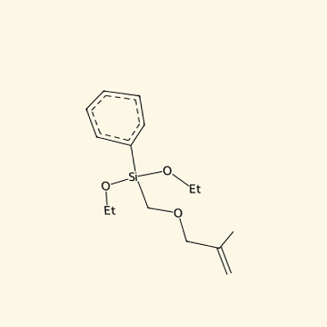 C=C(C)COC[Si](OCC)(OCC)c1ccccc1